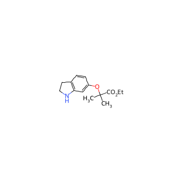 CCOC(=O)C(C)(C)Oc1ccc2c(c1)NCC2